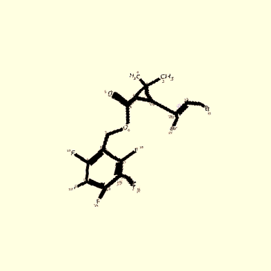 CC1(C)C(C(=O)OCc2c(F)c(F)c(F)c(F)c2F)C1/C(Br)=C/Br